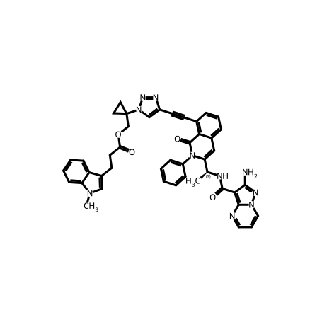 C[C@H](NC(=O)c1c(N)nn2cccnc12)c1cc2cccc(C#Cc3cn(C4(COC(=O)CCc5cn(C)c6ccccc56)CC4)nn3)c2c(=O)n1-c1ccccc1